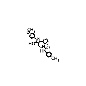 COc1ccc(-n2nc3c(c2O)CCN(C(=O)Nc2ccc(C)cc2)c2ncccc2-3)cc1